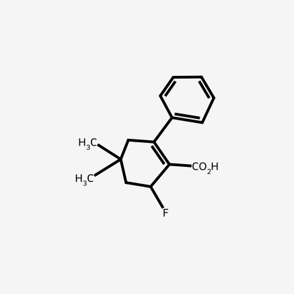 CC1(C)CC(c2ccccc2)=C(C(=O)O)C(F)C1